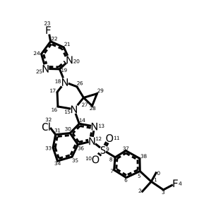 CC(C)(CF)c1ccc(S(=O)(=O)n2nc(N3CCN(c4ncc(F)cn4)CC34CC4)c3c(Cl)cccc32)cc1